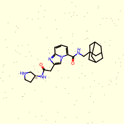 O=C(Cc1cn2c(C(=O)NCC34CC5CC(CC(C5)C3)C4)cccc2n1)N[C@H]1CCNC1